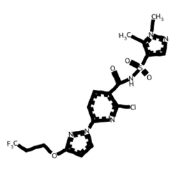 Cc1c(S(=O)(=O)NC(=O)c2ccc(-n3ccc(OCCC(F)(F)F)n3)nc2Cl)cnn1C